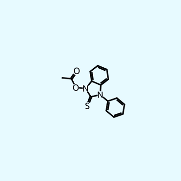 CC(=O)On1c(=S)n(-c2ccccc2)c2ccccc21